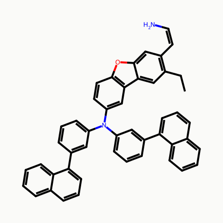 CCc1cc2c(cc1/C=C\N)oc1ccc(N(c3cccc(-c4cccc5ccccc45)c3)c3cccc(-c4cccc5ccccc45)c3)cc12